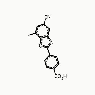 Cc1cc(C#N)cc2nc(-c3ccc(C(=O)O)cc3)oc12